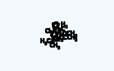 CC(C)c1cnc2c(N(C(=O)OC(C)(C)C)[C@@H](C)c3ccccc3)nc(Cl)cn12